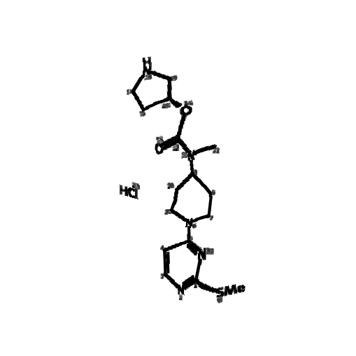 CSc1nccc(N2CCC(N(C)C(=O)O[C@H]3CCNC3)CC2)n1.Cl